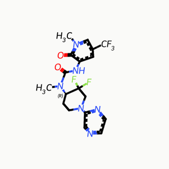 CN(C(=O)Nc1cc(C(F)(F)F)cn(C)c1=O)[C@@H]1CCN(c2cnccn2)CC1(F)F